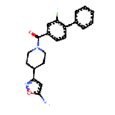 Nc1cc(C2CCN(C(=O)c3ccc(-c4ccccc4)c(F)c3)CC2)no1